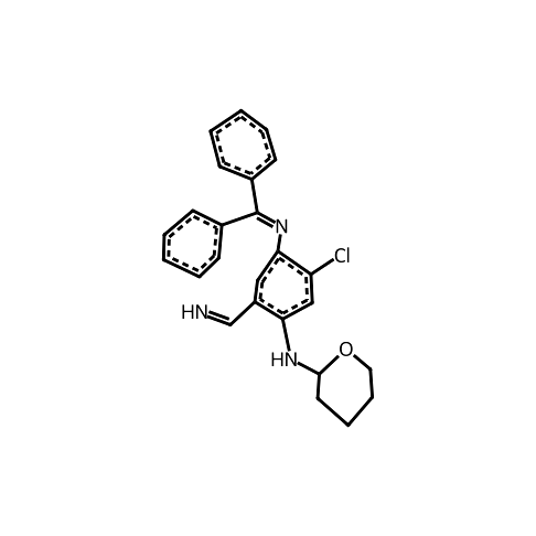 N=Cc1cc(N=C(c2ccccc2)c2ccccc2)c(Cl)cc1NC1CCCCO1